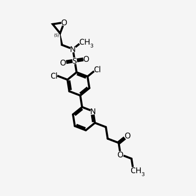 CCOC(=O)CCc1cccc(-c2cc(Cl)c(S(=O)(=O)N(C)C[C@H]3CO3)c(Cl)c2)n1